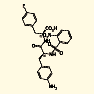 Nc1ccc(C[C@H](NS(=O)(=O)c2ccccc2[N+](=O)[O-])C(=O)N[C@@H](Cc2ccc(F)cc2)C(=O)O)cc1